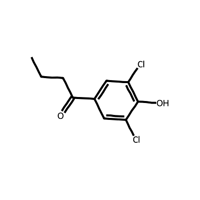 CCCC(=O)c1cc(Cl)c(O)c(Cl)c1